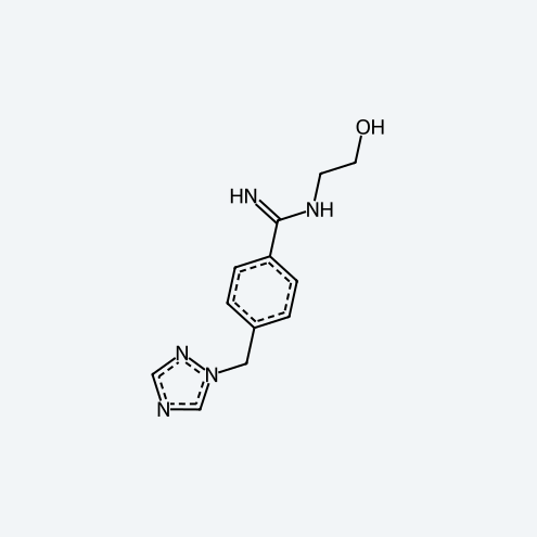 N=C(NCCO)c1ccc(Cn2cncn2)cc1